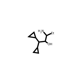 CCC(N)C(O)C(C1CC1)C1CC1